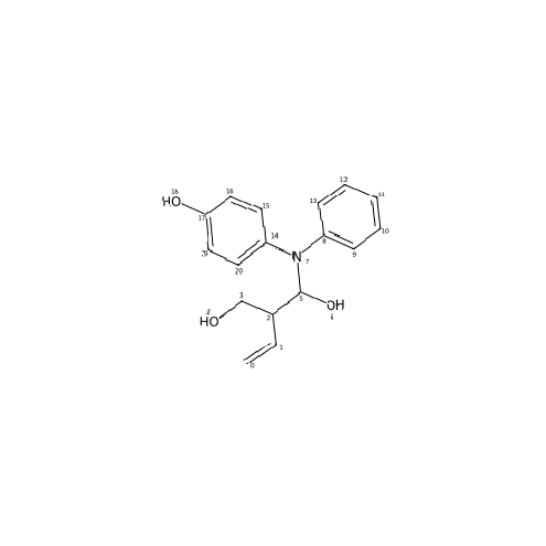 C=CC(CO)C(O)N(c1ccccc1)c1ccc(O)cc1